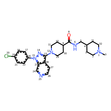 CN1CCC(CNC(=O)C2CCN(c3nn(-c4ccc(Cl)cc4)c4cnccc34)CC2)CC1